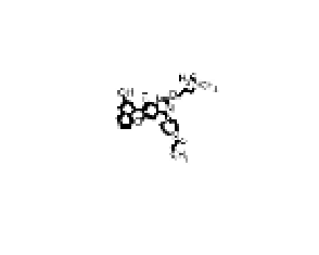 CCC(=O)N1CCN(c2nc(OCCCN(C)C)nc3c(F)c(-c4cc(O)cc5ccccc45)c(Cl)cc23)CC1